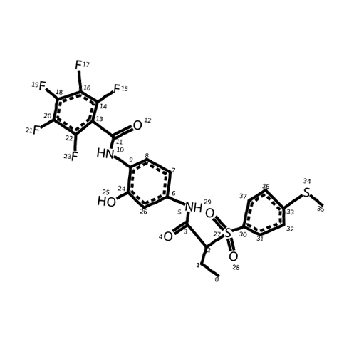 CCC(C(=O)Nc1ccc(NC(=O)c2c(F)c(F)c(F)c(F)c2F)c(O)c1)S(=O)(=O)c1ccc(SC)cc1